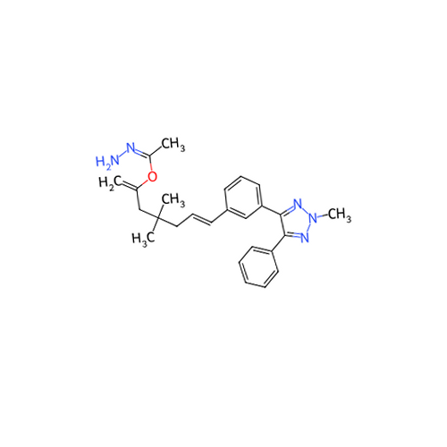 C=C(CC(C)(C)C/C=C/c1cccc(-c2nn(C)nc2-c2ccccc2)c1)O/C(C)=N\N